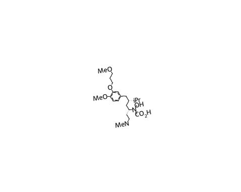 CNCC[C@H](C[C@H](Cc1ccc(OC)c(OCCCOC)c1)C(C)C)N(O)C(=O)O